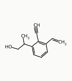 C#Cc1c(C=C)cccc1[C](C)CO